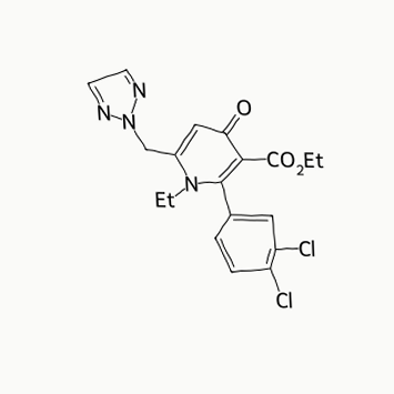 CCOC(=O)c1c(-c2ccc(Cl)c(Cl)c2)n(CC)c(Cn2nccn2)cc1=O